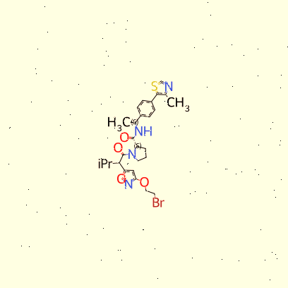 Cc1ncsc1-c1ccc([C@H](C)NC(=O)[C@@H]2CCCN2C(=O)C(c2cc(OCCBr)no2)C(C)C)cc1